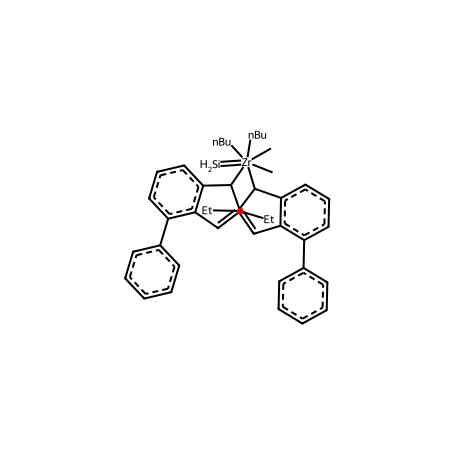 CCC[CH2][Zr]([CH3])([CH3])(=[SiH2])([CH2]CCC)([CH]1C(CC)=Cc2c(-c3ccccc3)cccc21)[CH]1C(CC)=Cc2c(-c3ccccc3)cccc21